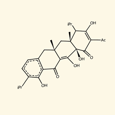 CC(=O)C1=C(O)C(C(C)C)[C@@]2(C)C[C@@]3(C)Cc4ccc(C(C)C)c(O)c4C(=O)C3=C(O)[C@@]2(O)C1=O